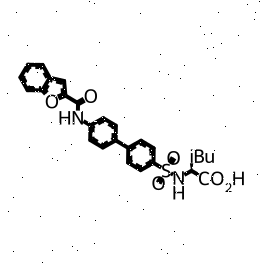 CCC(C)[C@H](NS(=O)(=O)c1ccc(-c2ccc(NC(=O)c3cc4ccccc4o3)cc2)cc1)C(=O)O